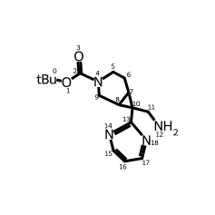 CC(C)(C)OC(=O)N1CCC2C(C1)C2(CN)c1ncccn1